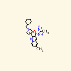 Cc1ccc2nc(N3CCN(CC4CCCCC4)CC3)c(C(=O)NC(C)N)cc2c1